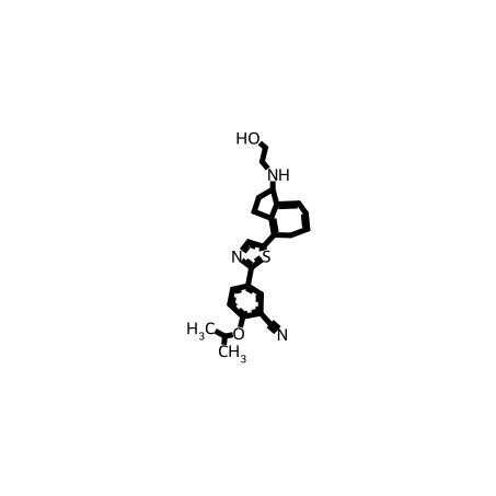 CC(C)Oc1ccc(-c2ncc(C3=C4CCC(NCCO)C4=CC=CC3)s2)cc1C#N